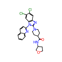 O=C(NC1CCOC1)C1CCN(c2nc3cc(Cl)c(Cl)cc3n2-c2ccc3ccccc3n2)CC1